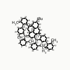 Cc1ccccc1N(c1cc(-c2c(C)cccc2C)ccc1C)c1cc(N(c2ccccc2C)c2cc(-c3c(C)cccc3C)ccc2C)c2ccc3cc(C(C)(C)C)cc4ccc1c2c43